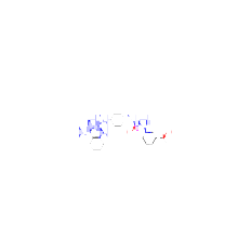 CC(=O)c1cccc(NC(=O)N[C@H]2CC[C@@H](Nc3nc4c(c(N(C)C)n3)CCCC4)CC2)c1